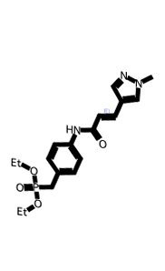 CCOP(=O)(Cc1ccc(NC(=O)/C=C/c2cnn(C)c2)cc1)OCC